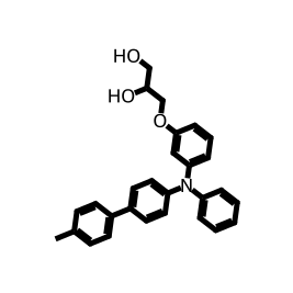 Cc1ccc(-c2ccc(N(c3ccccc3)c3cccc(OCC(O)CO)c3)cc2)cc1